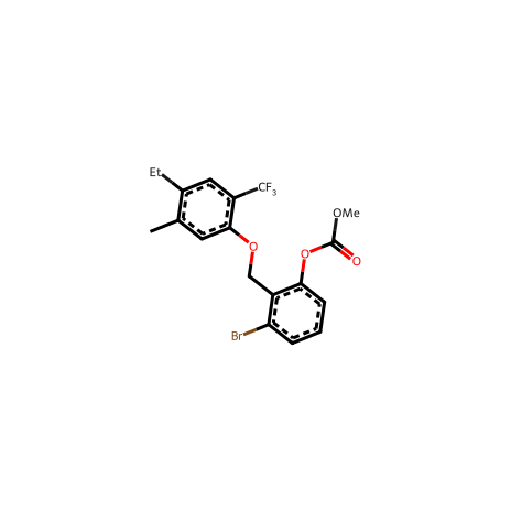 CCc1cc(C(F)(F)F)c(OCc2c(Br)cccc2OC(=O)OC)cc1C